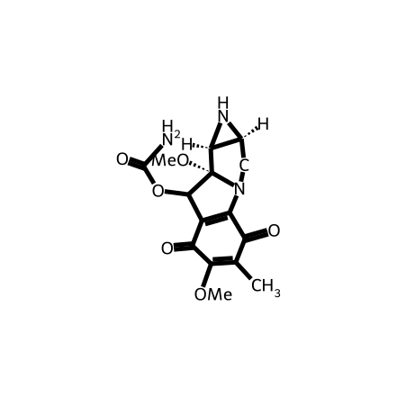 COC1=C(C)C(=O)C2=C(C1=O)C(OC(N)=O)[C@@]1(OC)[C@H]3N[C@H]3CN21